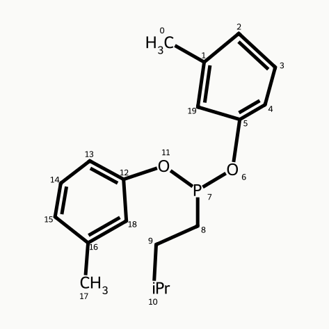 Cc1cccc(OP(CCC(C)C)Oc2cccc(C)c2)c1